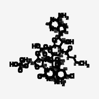 C=CCCC(=O)N(C1C(COP(=O)(O)O[C@H]2[C@@H](OC3CCCO3)[C@H](n3ccc(N)nc3=O)O[C@@H]2COP(=O)(O)O)OC(n2cnc3c(N)ncnc32)C1O)[C@H](COc1cccc(Cl)c1)C(=O)O